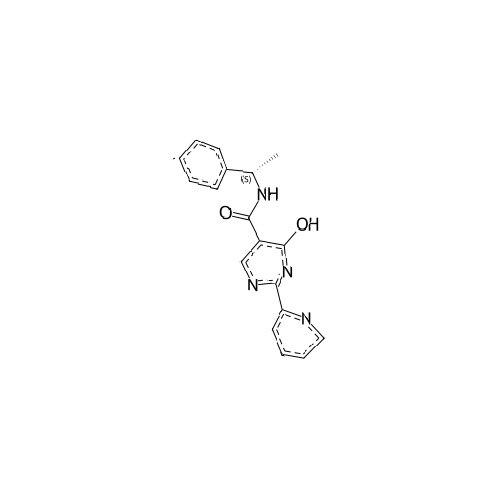 C[C@H](NC(=O)c1cnc(-c2ccccn2)nc1O)c1cc[c]cc1